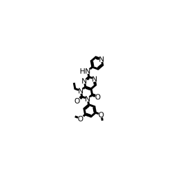 CCn1c(=O)n(-c2cc(OC)cc(OC)c2)c(=O)c2cnc(Nc3ccncc3)nc21